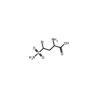 NC(CC(Br)S(N)(=O)=O)C(=O)O